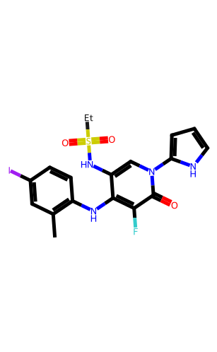 CCS(=O)(=O)Nc1cn(-c2ccc[nH]2)c(=O)c(F)c1Nc1ccc(I)cc1C